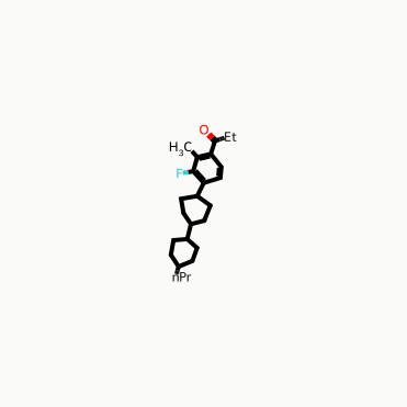 CCCC1CCC(C2CCC(c3ccc(C(=O)CC)c(C)c3F)CC2)CC1